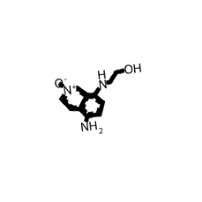 Nc1ccc(NCCO)c2c[n+]([O-])ccc12